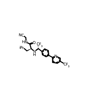 CC(C)C[C@H](N[C@@H](c1ccc(-c2ccc(C(F)(F)F)cn2)cc1)C(F)(F)F)C(=O)NCC#N